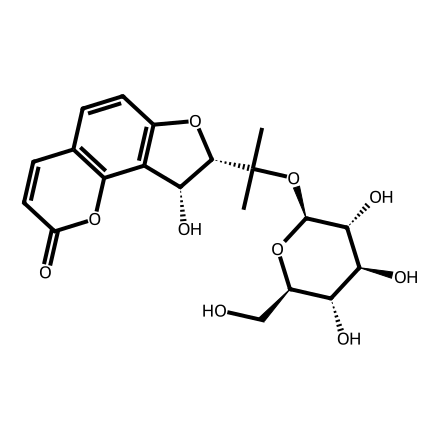 CC(C)(O[C@@H]1O[C@H](CO)[C@@H](O)[C@H](O)[C@H]1O)[C@H]1Oc2ccc3ccc(=O)oc3c2[C@H]1O